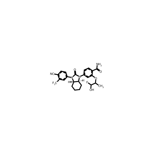 CC(Oc1cc(N2C(=O)N(c3ccc(C#N)c(C(F)(F)F)c3)[C@H]3CCCC[C@@H]32)ccc1C(N)=O)C(O)F